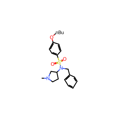 CCCCOc1ccc(S(=O)(=O)N(Cc2ccccc2)C2CCN(C)C2)cc1